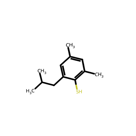 Cc1cc(C)c(S)c(CC(C)C)c1